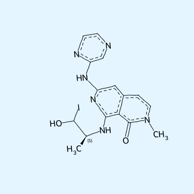 C[C@H](Nc1nc(Nc2cnccn2)cc2ccn(C)c(=O)c12)C(O)I